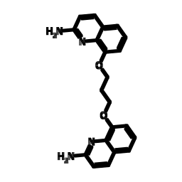 Nc1ccc2cccc(OCCCOc3cccc4ccc(N)nc34)c2n1